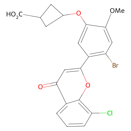 COc1cc(Br)c(-c2cc(=O)c3cccc(Cl)c3o2)cc1OC1CC(C(=O)O)C1